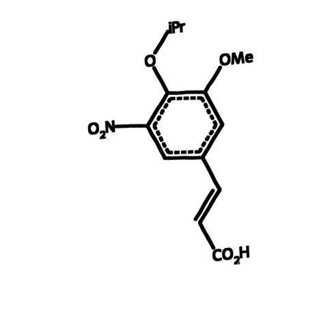 COc1cc(/C=C/C(=O)O)cc([N+](=O)[O-])c1OC(C)C